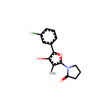 CC(=O)Oc1c(N2CCCC2=O)oc(-c2cccc(Cl)c2)c1O